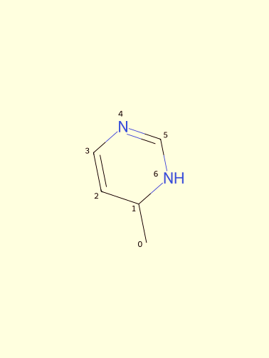 CC1C=CN=CN1